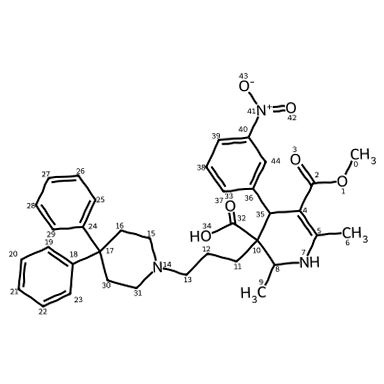 COC(=O)C1=C(C)NC(C)C(CCCN2CCC(c3ccccc3)(c3ccccc3)CC2)(C(=O)O)C1c1cccc([N+](=O)[O-])c1